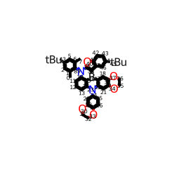 Cc1cc(C(C)(C)C)cc(C)c1N1c2cccc3c2B(c2cc4c(cc2N3c2ccc3c(c2)OCCO3)OCCO4)c2c1oc1ccc(C(C)(C)C)cc21